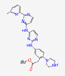 CCC(C)OC(=O)Cc1cc(Nc2nccc(Nc3ccnc(-c4cccc(C)n4)n3)n2)ccc1N1CCNCC1